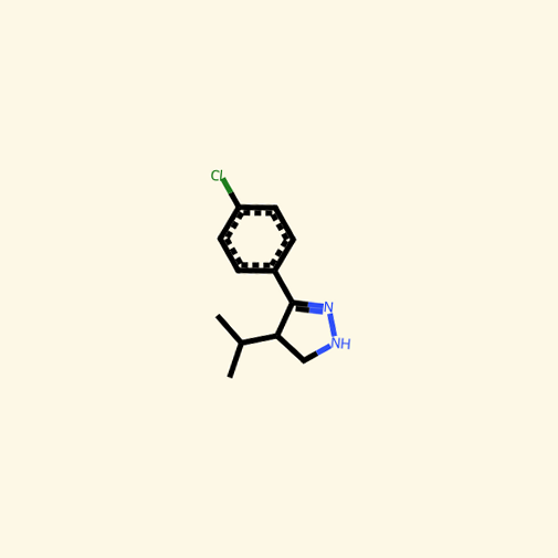 CC(C)C1CNN=C1c1ccc(Cl)cc1